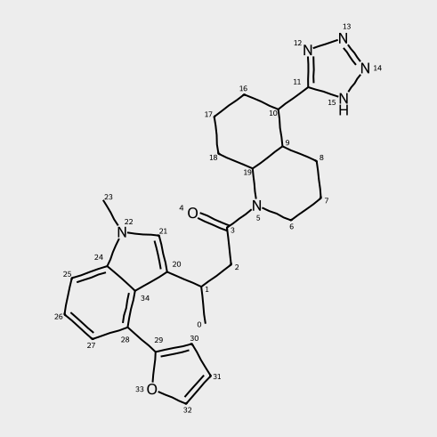 CC(CC(=O)N1CCCC2C(c3nnn[nH]3)CCCC21)c1cn(C)c2cccc(-c3ccco3)c12